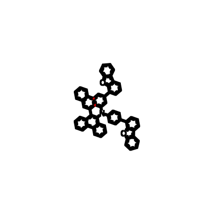 c1cc(-c2cccc3c2oc2ccccc23)cc(N(c2ccc(-c3cccc4c3oc3ccccc34)cc2)c2c(-c3ccc4ccccc4c3)c3ccccc3c3ccccc23)c1